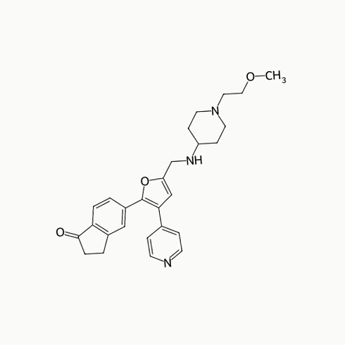 COCCN1CCC(NCc2cc(-c3ccncc3)c(-c3ccc4c(c3)CCC4=O)o2)CC1